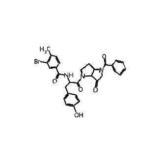 Cc1ccc(C(=O)NC(Cc2ccc(O)cc2)C(=O)N2CCC3C2C(=O)CN3C(=O)c2ccccc2)cc1Br